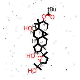 CC(C)(C)C(=O)O[C@H]1CC[C@]23CC24CC[C@]2(C)[C@@H](C5(C)CC[C@@H](C(C)(C)O)O5)[C@@H](O)C[C@@]2(C)[C@@H]4C[C@H](O)[C@H]3C1(C)C